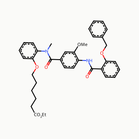 CCOC(=O)CCCCCOc1ccccc1N(C)C(=O)c1ccc(NC(=O)c2ccccc2OCc2ccccc2)c(OC)c1